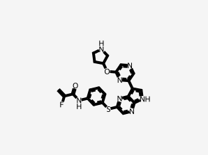 C=C(F)C(=O)Nc1cccc(Sc2cnc3[nH]cc(-c4cncc(OC5CCNC5)n4)c3n2)c1